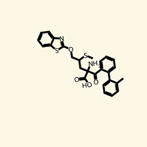 CSC(COc1nc2ccccc2s1)CC(N)(C(=O)O)C(=O)c1ccccc1-c1ccccc1C